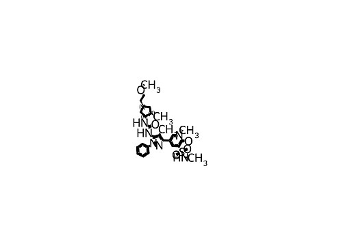 CNS(=O)(=O)c1cc(-c2nn(-c3ccccc3)c(NC(=O)N[C@@H]3C[C@@H](CCOC)C[C@H]3C)c2C)cn(C)c1=O